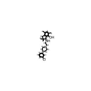 Cc1cc(C)c2c(c1O)C(NCCN1CCN(c3cccc(Cl)c3)CC1)C(C)(C)C2